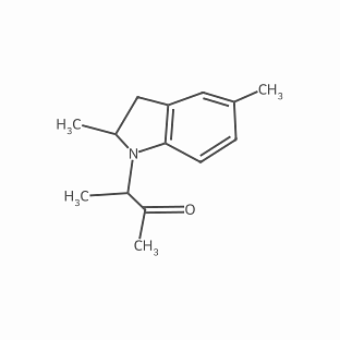 CC(=O)C(C)N1c2ccc(C)cc2CC1C